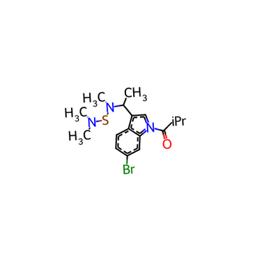 CC(C)C(=O)n1cc(C(C)N(C)SN(C)C)c2ccc(Br)cc21